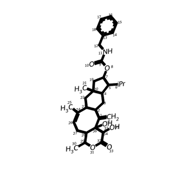 C=C1C2CC3C(C(C)C)C(OC(=O)NCc4ccccc4)CC3(C)CC2C(C)=CCC2C(C)OC(=O)C(O)C12O